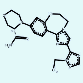 NC(=O)[C@@H]1COCCN1c1ccc2c(c1)OCCn1cc(-c3ncnn3CC(F)(F)F)nc1-2